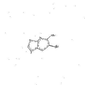 CC(C)(C)c1cc2scnc2nc1C(C)(C)C